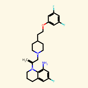 C=C(CN1CCC(CCOc2cc(F)cc(F)c2)CC1)N1CCCc2cc(F)cc(N)c21